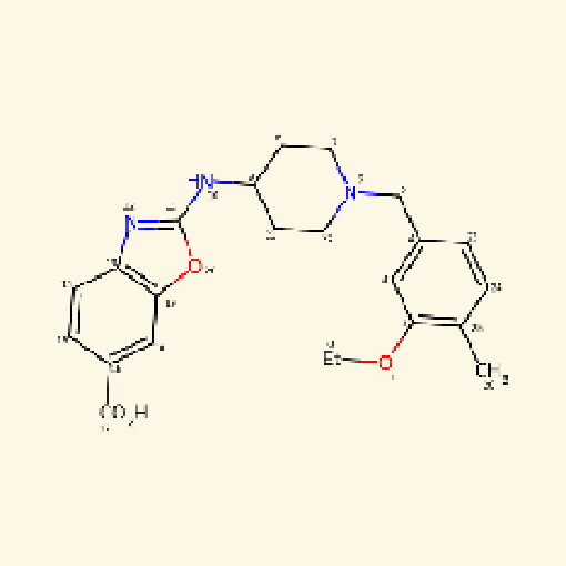 CCOc1cc(CN2CCC(Nc3nc4ccc(C(=O)O)cc4o3)CC2)ccc1C